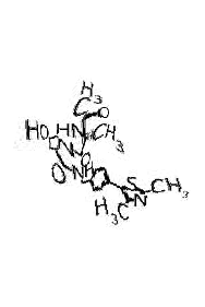 CC(=O)N[C@H](C)C(=O)N1CC(O)CC1C(=O)NCc1ccc(-c2sc(C)nc2C)cc1